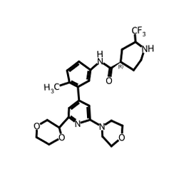 Cc1ccc(NC(=O)[C@@H]2CCNC(C(F)(F)F)C2)cc1-c1cc(C2COCCO2)nc(N2CCOCC2)c1